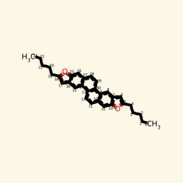 CCCCCc1cc2cc3c(ccc4c5cc6cc(CCCCC)oc6cc5ccc34)cc2o1